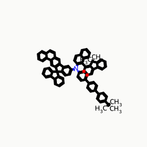 CC(C)(C)c1ccc(-c2ccc(-c3ccc(N(c4ccc5c(c4)-c4cc6ccc7ccccc7c6cc4C54c5ccccc5-c5ccccc54)c4ccc5ccccc5c4-c4cccc5c4C(C)(C)c4ccccc4-5)cc3)cc2)cc1